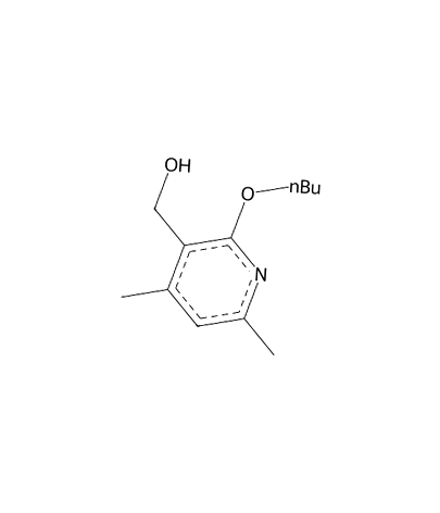 CCCCOc1nc(C)cc(C)c1CO